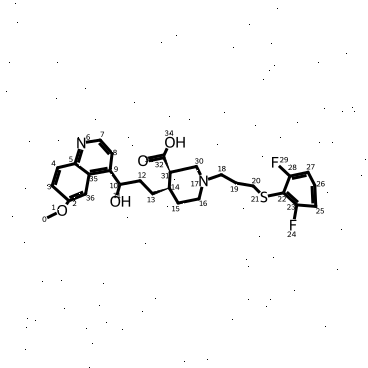 COc1ccc2nccc(C(O)CC[C@@H]3CCN(CCCSc4c(F)cccc4F)C[C@@H]3C(=O)O)c2c1